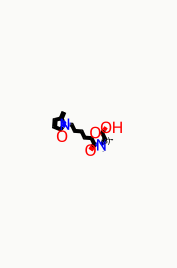 C=C1C=CC(=O)N1CCCCCC(=O)N(C)[C@@H](C)C(=O)O